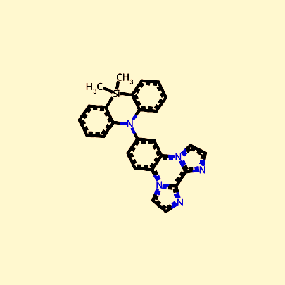 C[Si]1(C)c2ccccc2N(c2ccc3c(c2)n2ccnc2c2nccn32)c2ccccc21